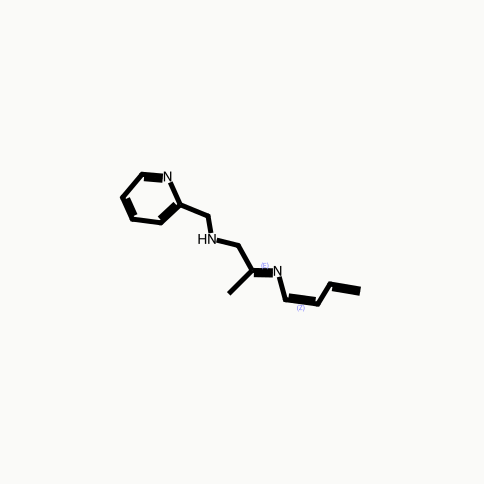 C=C/C=C\N=C(/C)CNCc1ccccn1